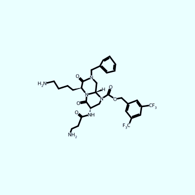 NCCCC[C@H]1C(=O)N(Cc2ccccc2)C[C@@H]2N(C(=O)OCc3cc(C(F)(F)F)cc(C(F)(F)F)c3)C[C@H](NC(=O)CCN)C(=O)N21